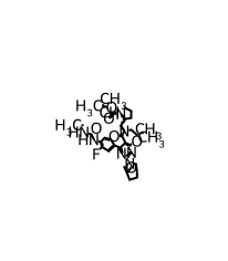 CCNC(=O)Nc1ccc(-c2nc(N3CC4CCC(C3)O4)nc3c2C(=O)N(CC2CCCN2C(=O)OC(C)(C)C)CC(C)(C)O3)cc1F